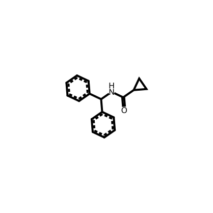 O=C(NC(c1ccccc1)c1ccccc1)C1CC1